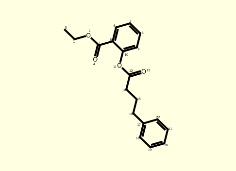 CCOC(=O)c1ccccc1OC(=O)CCCc1ccccc1